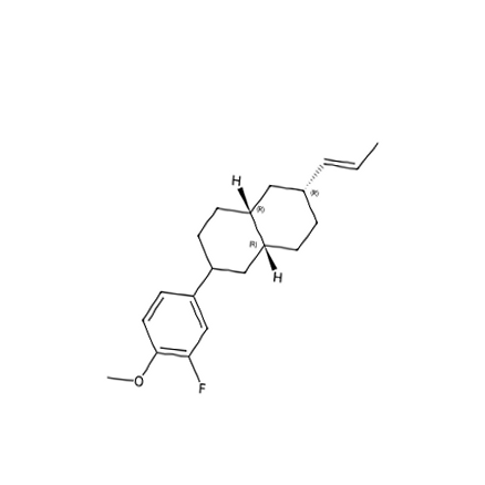 CC=C[C@@H]1CC[C@@H]2CC(c3ccc(OC)c(F)c3)CC[C@@H]2C1